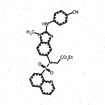 CCOC(=O)CN(c1ccc2c(c1)nc(Nc1ccc(C#N)cc1)n2C)S(=O)(=O)c1cccc2cccnc12